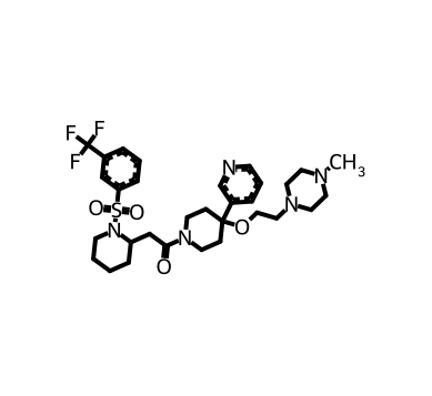 CN1CCN(CCOC2(c3cccnc3)CCN(C(=O)CC3CCCCN3S(=O)(=O)c3cccc(C(F)(F)F)c3)CC2)CC1